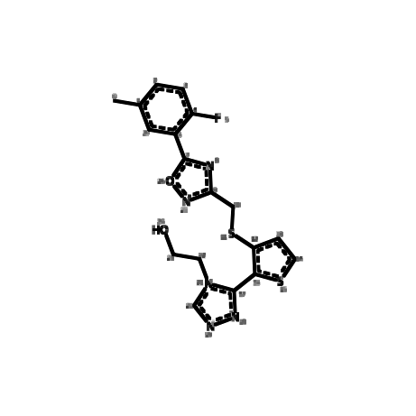 Cc1ccc(F)c(-c2nc(CSc3ccsc3-c3nncn3CCO)no2)c1